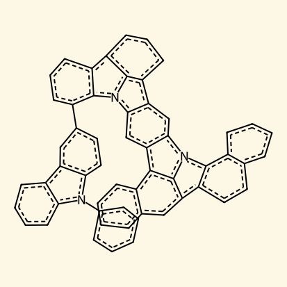 c1ccc(-n2c3ccccc3c3cc(-c4cccc5c6cccc7c8cc9c(cc8n(c45)c76)c4c5ccccc5cc5c6ccc7ccccc7c6n9c54)ccc32)cc1